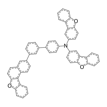 c1cc(-c2ccc(N(c3ccc4oc5ccccc5c4c3)c3ccc4oc5ccccc5c4c3)cc2)cc(-c2ccc3c(ccc4oc5ccccc5c43)c2)c1